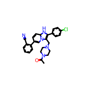 CC(=O)N1CCN(CC2=C(c3ccc(Cl)cc3)NC3C=CC(c4ccccc4C#N)=CN23)CC1